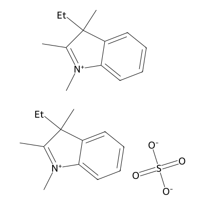 CCC1(C)C(C)=[N+](C)c2ccccc21.CCC1(C)C(C)=[N+](C)c2ccccc21.O=S(=O)([O-])[O-]